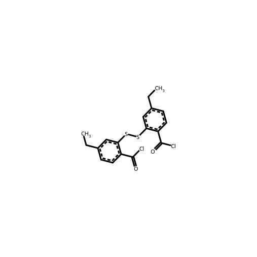 CCc1ccc(C(=O)Cl)c(SSc2cc(CC)ccc2C(=O)Cl)c1